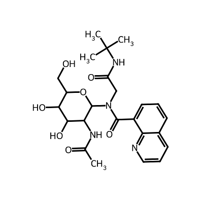 CC(=O)NC1C(O)C(O)C(CO)OC1N(CC(=O)NC(C)(C)C)C(=O)c1cccc2cccnc12